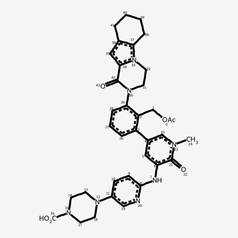 CC(=O)OCc1c(-c2cc(Nc3ccc(N4CCN(C(=O)O)CC4)cn3)c(=O)n(C)c2)cccc1N1CCn2c(cc3c2CCCC3)C1=O